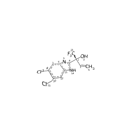 C=C[C@@](O)(c1nc2cc(Cl)c(Cl)cc2[nH]1)C(F)(F)F